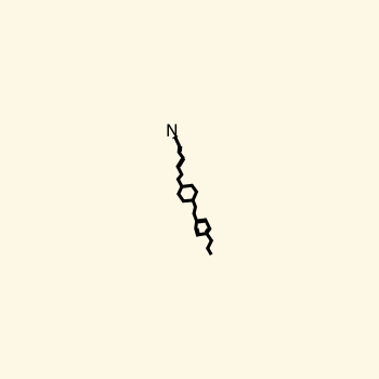 CCCc1ccc(CCC2CCC(CCC=CC=CC#N)CC2)cc1